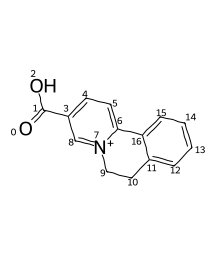 O=C(O)c1ccc2[n+](c1)CCc1ccccc1-2